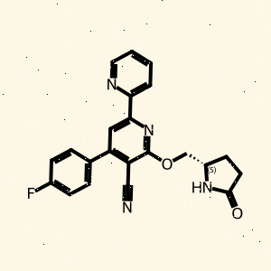 N#Cc1c(-c2ccc(F)cc2)cc(-c2ccccn2)nc1OC[C@@H]1CCC(=O)N1